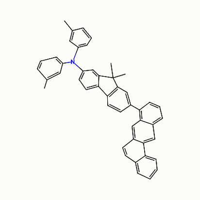 Cc1cccc(N(c2cccc(C)c2)c2ccc3c(c2)C(C)(C)c2cc(-c4cccc5cc6c(ccc7ccccc76)cc45)ccc2-3)c1